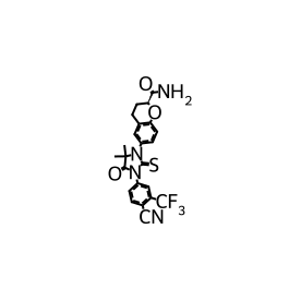 CC1(C)C(=O)N(c2ccc(C#N)c(C(F)(F)F)c2)C(=S)N1c1ccc2c(c1)CC[C@@H](C(N)=O)O2